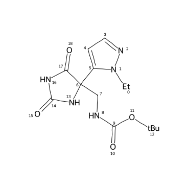 CCn1nccc1C1(CNC(=O)OC(C)(C)C)NC(=O)NC1=O